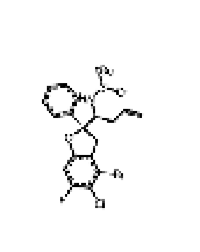 C=CC[C@H](N[S+]([O-])C(C)(C)C)[C@@]1(c2ccccc2)Cc2c(cc(F)c(Cl)c2Br)O1